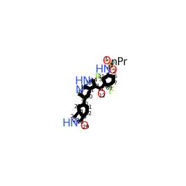 CCCS(=O)(=O)Nc1ccc(F)c(C(=O)c2c[nH]c3ncc(-c4ccc5c(c4)CNC5=O)cc23)c1F